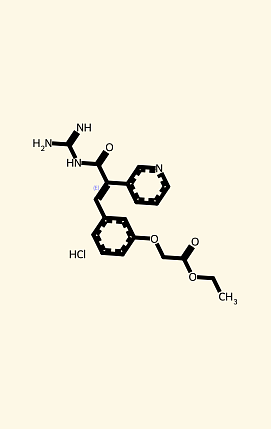 CCOC(=O)COc1cccc(/C=C(/C(=O)NC(=N)N)c2cccnc2)c1.Cl